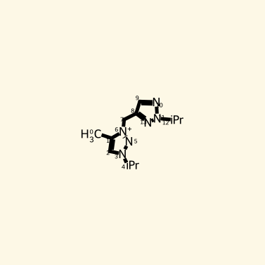 Cc1cn(C(C)C)n[n+]1Cc1cnn(C(C)C)n1